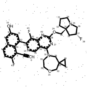 C#Cc1c(F)ccc2cc(O)cc(-c3ncc4c(N5CCOCC6(CC6)C5)nc(OC[C@@]56CCCN5C[C@H](F)C6)nc4c3F)c12